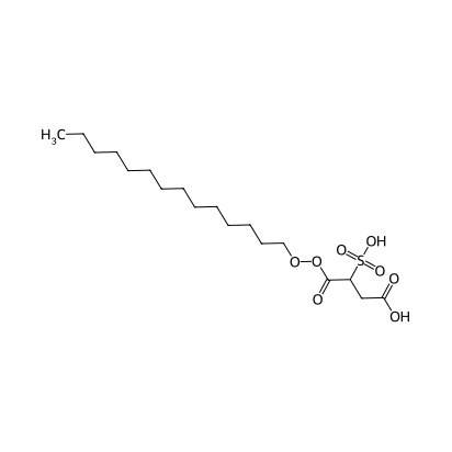 CCCCCCCCCCCCCCOOC(=O)C(CC(=O)O)S(=O)(=O)O